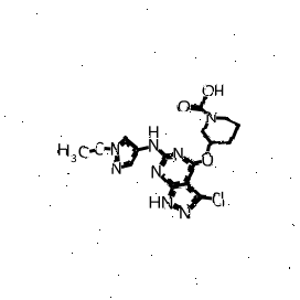 CCn1cc(Nc2nc(OC3CCCN(C(=O)O)C3)c3c(Cl)n[nH]c3n2)cn1